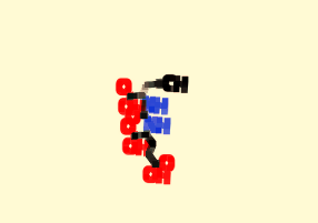 C#CC[C@H](NC(=O)N[C@@H](CCC(=O)O)C(=O)O)C(=O)O